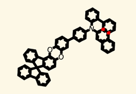 c1ccc(-c2ccccc2N(c2ccc(-c3ccc4c(c3)Oc3ccc5c(c3O4)-c3ccccc3C53c4ccccc4-c4ccccc43)cc2)c2ccc3ccccc3c2)cc1